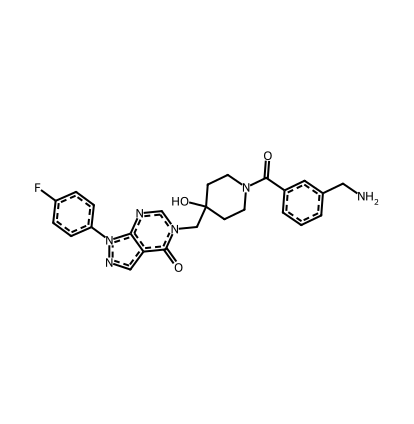 NCc1cccc(C(=O)N2CCC(O)(Cn3cnc4c(cnn4-c4ccc(F)cc4)c3=O)CC2)c1